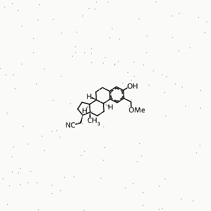 COCc1cc2c(cc1O)CC[C@@H]1[C@@H]2CC[C@]2(C)[C@@H](CC#N)CC[C@@H]12